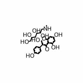 CNC[C@H](O)[C@@H](O)[C@H](O)[C@H](O)CO.O=c1c(-c2ccc(O)cc2)coc2cc(O)cc(O)c12